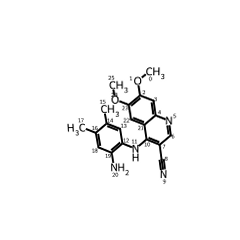 COc1cc2ncc(C#N)c(Nc3cc(C)c(C)cc3N)c2cc1OC